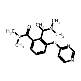 CC(c1c(Oc2ccncn2)cccc1C(=O)N(C)C)N(C)C